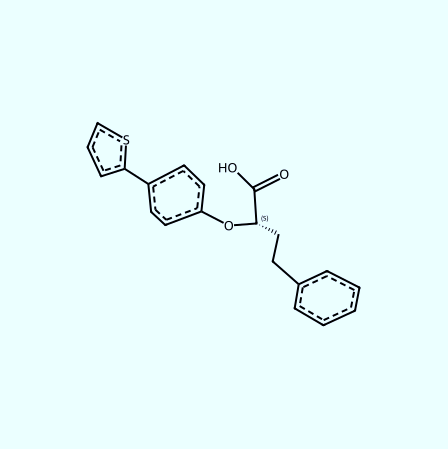 O=C(O)[C@H](CCc1ccccc1)Oc1ccc(-c2cccs2)cc1